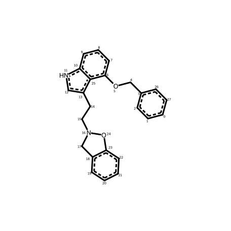 c1ccc(COc2cccc3[nH]cc(CCN4Cc5ccccc5O4)c23)cc1